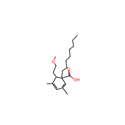 CCCCCCCCC1(C(=O)O)C=C(C)C=C(C)C1CCOC